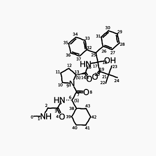 CNCC(=O)N[C@H](C(=O)N1CCC[C@H]1C(=O)NC(O)(C(=O)C(C)(C)C)C(c1ccccc1)c1ccccc1)C1CCCCC1